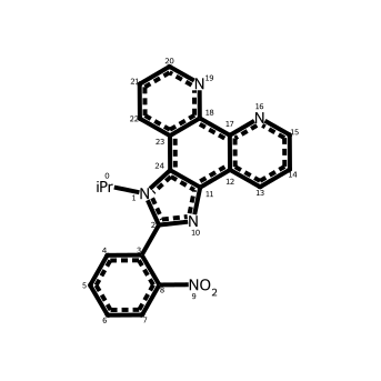 CC(C)n1c(-c2ccccc2[N+](=O)[O-])nc2c3cccnc3c3ncccc3c21